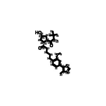 CSc1cc(-c2scnc2C)ccc1CCCCC(=O)[C@@H]1C[C@@H](O)CN1C(=O)[C@@H](C)C(C)(C)C